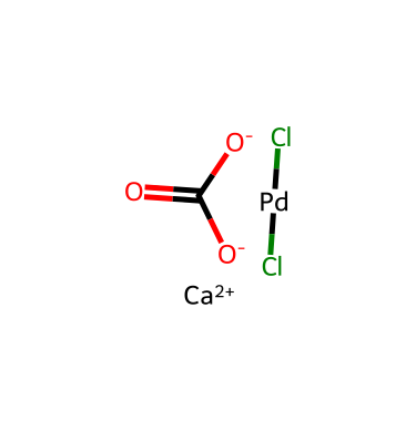 O=C([O-])[O-].[Ca+2].[Cl][Pd][Cl]